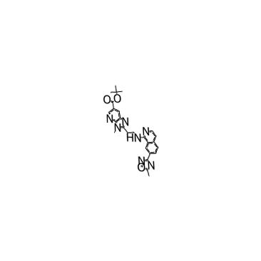 Cc1nc(-c2ccc3ccnc(NCCc4nc5cc(C(=O)OC(C)(C)C)cnc5n4C)c3c2)no1